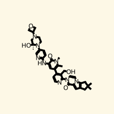 Cc1c(-c2ccnc(-n3ccn4c5c(cc4c3=O)CC(C)(C)C5)c2CO)cc(Nc2ccc(N3CCN(C4COC4)C[C@]3(C)O)cn2)c(=O)n1C